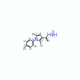 C=C(CNC)c1cc(C)n(-c2ccc(C)cc2)c1C